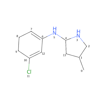 CC1CNC(NC2=CCCC(Cl)=C2)C1